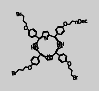 CCCCCCCCCCCCOc1ccc(-c2c3nc(c(-c4ccc(OCCCBr)cc4)c4ccc([nH]4)c(-c4ccc(OCCCBr)cc4)c4nc(c(-c5ccc(OCCCBr)cc5)c5ccc2[nH]5)C=C4)C=C3)cc1